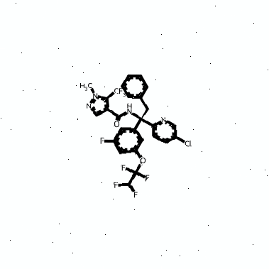 Cn1ncc(C(=O)N[C@@](Cc2ccccc2)(c2cc(F)cc(OC(F)(F)C(F)F)c2)c2ccc(Cl)cn2)c1C(F)(F)F